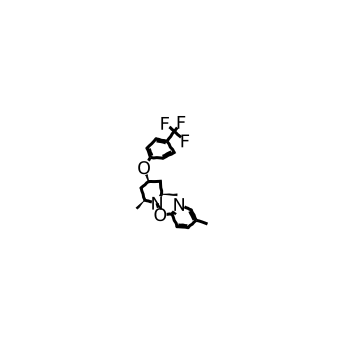 Cc1ccc(ON2[C@H](C)C[C@H](Oc3ccc(C(F)(F)F)cc3)C[C@@H]2C)nc1